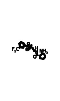 CC(C)(CCNC(=O)[C@H]1CCCC[C@@H]1N)S(=O)(=O)c1cccc(C(F)(F)F)c1